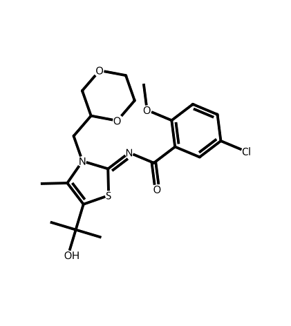 COc1ccc(Cl)cc1C(=O)N=c1sc(C(C)(C)O)c(C)n1CC1COCCO1